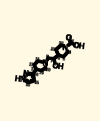 O=C(O)N1CCC(C(O)CN2CCC(c3cc[nH]n3)CC2)CC1